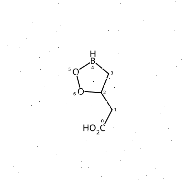 O=C(O)CC1CBOO1